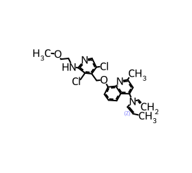 C=CN(/C=C\C)c1cc(C)nc2c(OCc3c(Cl)cnc(NCCOC)c3Cl)cccc12